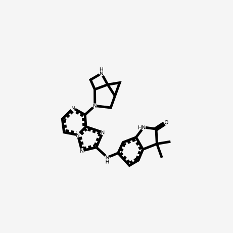 CC1(C)C(=O)Nc2cc(Nc3nc4c(N5CC6CC67NCC57)nccn4n3)ccc21